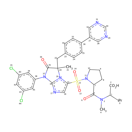 CC(C)C(C(=O)O)N(C)C(=O)C1CCCN1S(=O)(=O)c1cnc2n1C(C)(Cc1ccc(-c3cncnc3)cc1)C(=O)N2c1cc(Cl)cc(Cl)c1